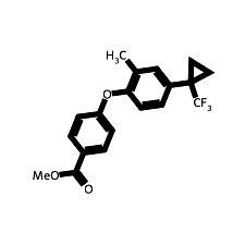 COC(=O)c1ccc(Oc2ccc(C3(C(F)(F)F)CC3)cc2C)cc1